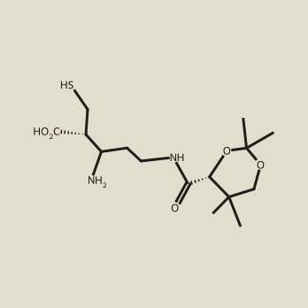 CC1(C)OCC(C)(C)[C@H](C(=O)NCCC(N)[C@@H](CS)C(=O)O)O1